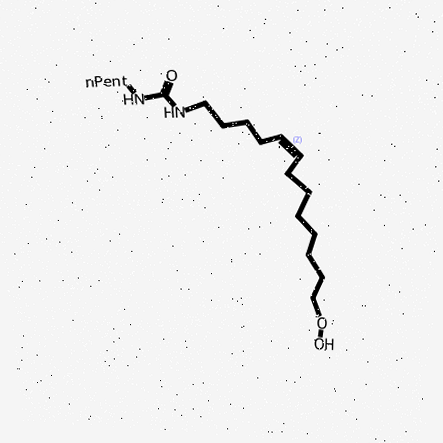 CCCCCNC(=O)NCCCC/C=C\CCCCCCCOO